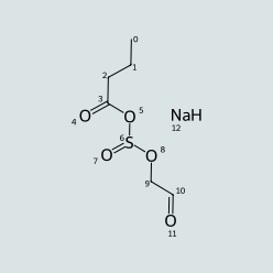 CCCC(=O)OS(=O)OCC=O.[NaH]